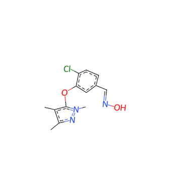 Cc1nn(C)c(Oc2cc(/C=N/O)ccc2Cl)c1C